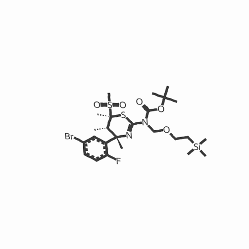 C[C@@H]1[C@@](C)(S(C)(=O)=O)SC(N(COCC[Si](C)(C)C)C(=O)OC(C)(C)C)=N[C@]1(C)c1cc(Br)ccc1F